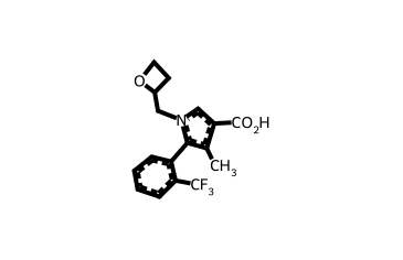 Cc1c(C(=O)O)cn(CC2CCO2)c1-c1ccccc1C(F)(F)F